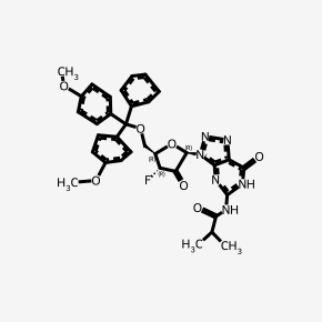 COc1ccc(C(OC[C@H]2O[C@@H](n3nnc4c(=O)[nH]c(NC(=O)C(C)C)nc43)C(=O)[C@@H]2F)(c2ccccc2)c2ccc(OC)cc2)cc1